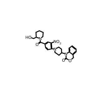 O=C(c1ccc(N2CCC(N3C(=O)OCc4ccccc43)CC2)c([N+](=O)[O-])c1)N1CCCCC1CO